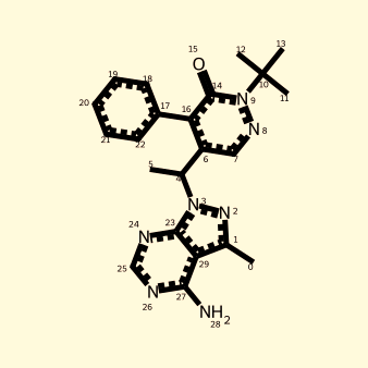 Cc1nn(C(C)c2cnn(C(C)(C)C)c(=O)c2-c2ccccc2)c2ncnc(N)c12